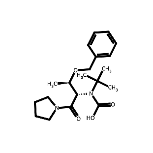 C[C@@H](OCc1ccccc1)[C@@H](C(=O)N1CCCC1)N(C(=O)O)C(C)(C)C